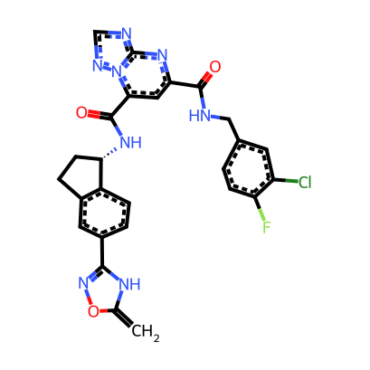 C=C1NC(c2ccc3c(c2)CC[C@@H]3NC(=O)c2cc(C(=O)NCc3ccc(F)c(Cl)c3)nc3ncnn23)=NO1